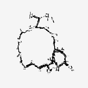 C[C@@H](O)[C@H]1CCCCCC/C=C/C=C(/O)c2[nH]c(=O)ccc2CCC1